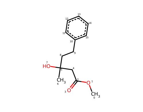 COC(=O)CC(C)(O)CCc1ccccc1